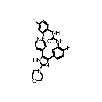 O=C(Nc1ccc(F)cc1F)Nc1cc(-c2nc(N3CCOCC3)[nH]c2-c2ccncc2)ccc1F